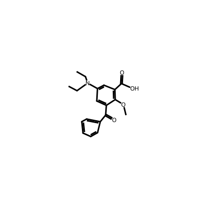 CCN(CC)c1cc(C(=O)O)c(OC)c(C(=O)c2ccccc2)c1